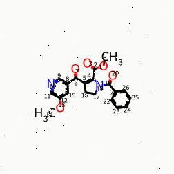 COC(=O)C1=C(C(=O)c2cncc(OC)c2)CCN1C(=O)c1ccccc1